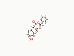 CC1(c2ccccc2)OC(=O)C(=Cc2ccc(O)cc2)C(=O)O1